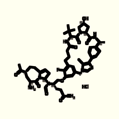 CC(=O)N1CCC2=CC[C@@H](N(C=O)[C@@H](CCC(N)=O)COc3cc(F)cc(CCCC(=O)N[C@H](C(=O)N4C[C@H](O)C[C@H]4C(=O)N[C@@H](C)c4ccc(-c5scnc5C)cc4)C(C)(C)C)c3F)N2C(=O)[C@@H](N)C1.Cl